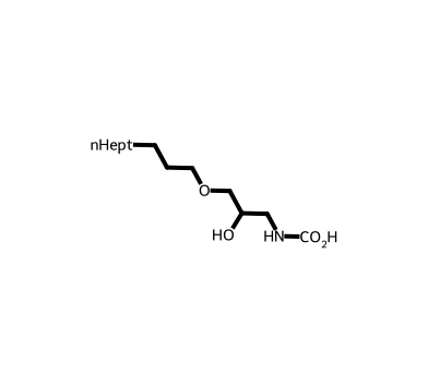 CCCCCCCCCCOCC(O)CNC(=O)O